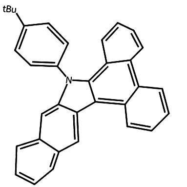 CC(C)(C)c1ccc(-n2c3cc4ccccc4cc3c3c4ccccc4c4ccccc4c32)cc1